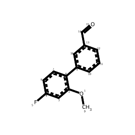 COc1cc(F)ccc1-c1cccc(C=O)c1